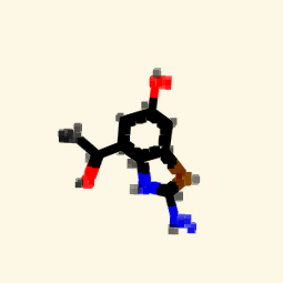 CC(C)(C)C(=O)c1cc(O)cc2sc(N)nc12